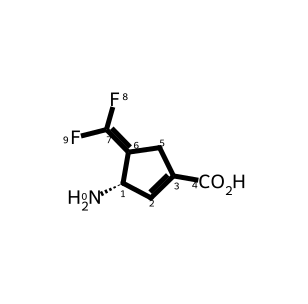 N[C@H]1C=C(C(=O)O)CC1=C(F)F